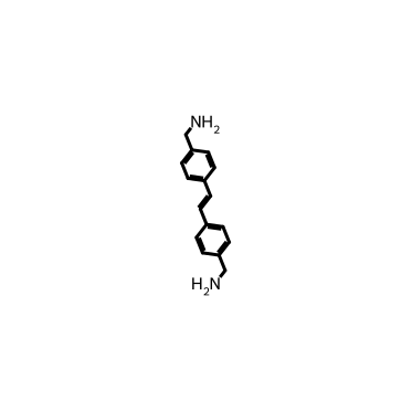 NCc1ccc(C=Cc2ccc(CN)cc2)cc1